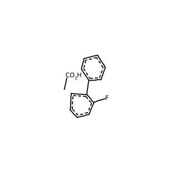 CC(=O)O.Fc1ccccc1-c1ccccc1